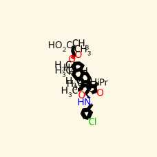 CC1=C2C[C@]3(CC(=O)C(C(C)C)=C3[C@H]3CC[C@@H]4[C@@]5(C)CC[C@H](OC(=O)CC(C)(C)C(=O)O)C(C)(C)[C@@H]5CC[C@@]4(C)[C@]23C)[C@@H](CNCc2cccc(Cl)c2)O1